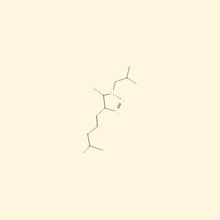 CC(C)CCCC1N=NN(CC(C)C)C1C